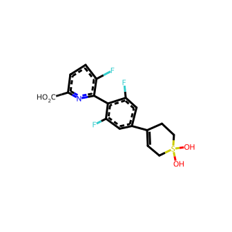 O=C(O)c1ccc(F)c(-c2c(F)cc(C3=CCS(O)(O)CC3)cc2F)n1